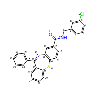 O=C(NCc1cccc(Cl)c1)c1ccc2c(c1)N=C(c1ccccc1)c1ccccc1S2